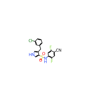 N#Cc1cc(F)c(NS(=O)(=O)c2c[nH]cc2Cc2cccc(Cl)c2)cc1F